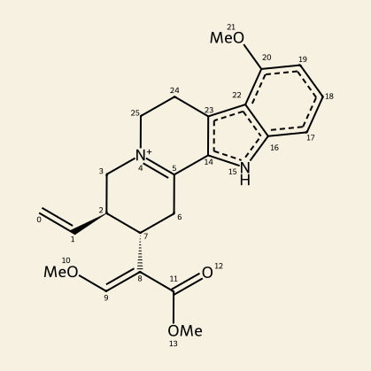 C=C[C@H]1C[N+]2=C(C[C@@H]1/C(=C\OC)C(=O)OC)c1[nH]c3cccc(OC)c3c1CC2